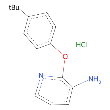 CC(C)(C)c1ccc(Oc2ncccc2N)cc1.Cl